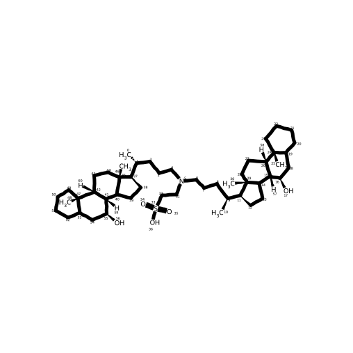 C[C@H](CCCN(CCC[C@H](C)[C@@H]1CCC2[C@H]3[C@H](O)CC4CCCC[C@@]4(C)[C@H]3CC[C@]21C)CCS(=O)(=O)O)[C@H]1CCC2[C@H]3[C@@H](CC[C@@]21C)[C@@]1(C)CCCCC1C[C@@H]3O